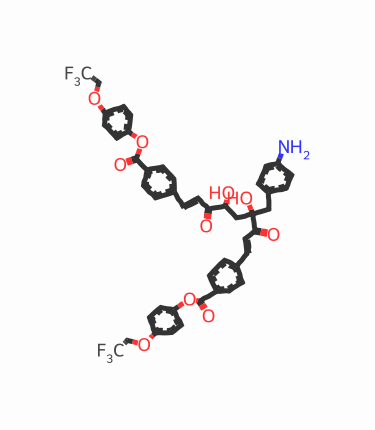 Nc1ccc(CC(O)(CC(O)C(=O)/C=C/c2ccc(C(=O)Oc3ccc(OCC(F)(F)F)cc3)cc2)C(=O)/C=C/c2ccc(C(=O)Oc3ccc(OCC(F)(F)F)cc3)cc2)cc1